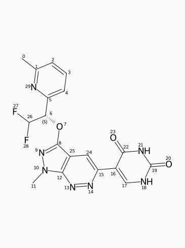 Cc1cccc([C@H](Oc2nn(C)c3nnc(-c4c[nH]c(=O)[nH]c4=O)cc23)C(F)F)n1